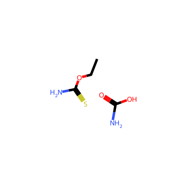 CCOC(N)=S.NC(=O)O